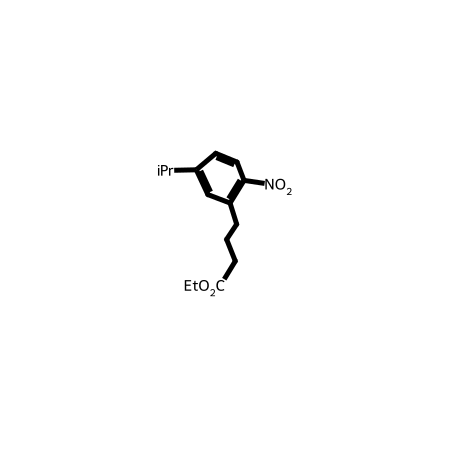 CCOC(=O)CCCc1cc(C(C)C)ccc1[N+](=O)[O-]